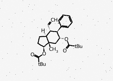 C=C[C@@H]1[C@@H](c2ccccc2)[C@H](OC(=O)C(C)(C)C)C[C@]2(C)[C@@H](OC(=O)C(C)(C)C)CC[C@@H]12